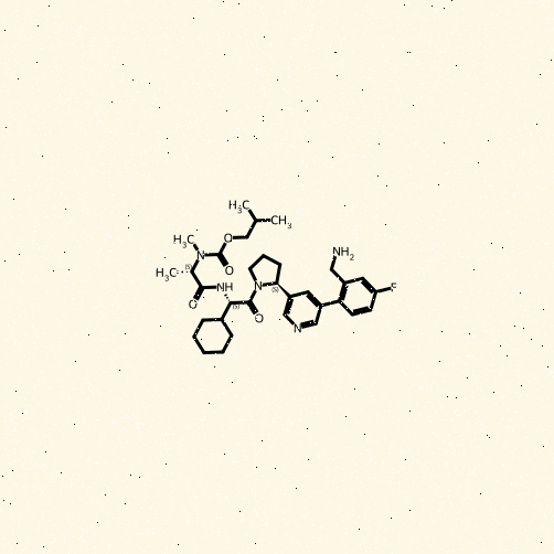 CC(C)COC(=O)N(C)[C@@H](C)C(=O)N[C@H](C(=O)N1CCC[C@H]1c1cncc(-c2ccc(F)cc2CN)c1)C1CCCCC1